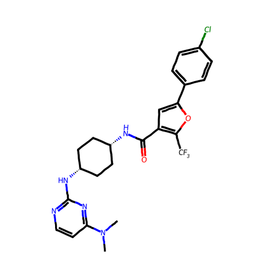 CN(C)c1ccnc(N[C@H]2CC[C@@H](NC(=O)c3cc(-c4ccc(Cl)cc4)oc3C(F)(F)F)CC2)n1